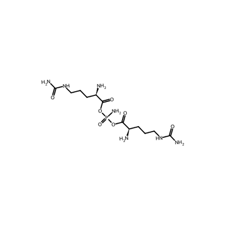 NC(=O)NCCC[C@@H](N)C(=O)OP(N)(=O)OC(=O)[C@H](N)CCCNC(N)=O